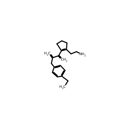 C=C(Cc1ccc(CC)cc1)C(=C)C1=C(CCN)CCC1